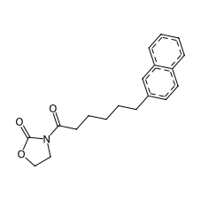 O=C(CCCCCc1ccc2ccccc2c1)N1CCOC1=O